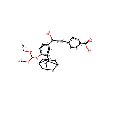 CCOC(OC)Oc1ccc(C(O)C#Cc2ccc(C(=O)O)cc2)cc1C12CC3CC(CC(C3)C1)C2